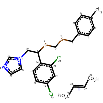 Cc1ccc(CSCSC(Cn2ccnc2)c2ccc(Cl)cc2Cl)cc1.O=C(O)/C=C/C(=O)O